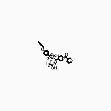 CC#CCOc1ccc(S(=O)(=O)CN(O)C(=O)C2CCN(C(=O)c3cccnc3)CC2)cc1.O=C(O)C(F)(F)F